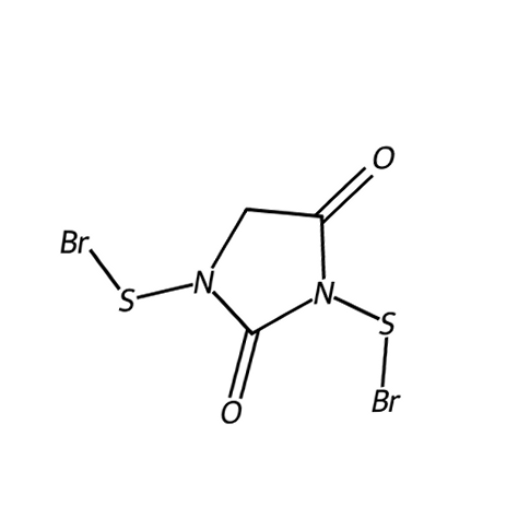 O=C1CN(SBr)C(=O)N1SBr